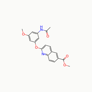 COC(=O)c1ccc2nc(Oc3cc(NC(C)=O)cc(OC)c3)ccc2c1